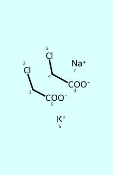 O=C([O-])CCl.O=C([O-])CCl.[K+].[Na+]